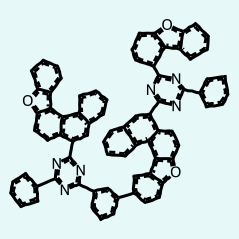 c1ccc(-c2nc(-c3cccc(-c4ccc5oc6ccc7c(-c8nc(-c9ccccc9)nc(-c9cccc%10oc%11ccccc%11c9%10)n8)cc8ccccc8c7c6c5c4)c3)nc(-c3cc4ccccc4c4c3ccc3oc5ccccc5c34)n2)cc1